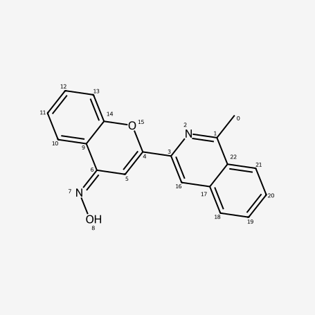 Cc1nc(-c2cc(=NO)c3ccccc3o2)cc2ccccc12